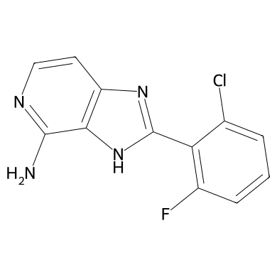 Nc1nccc2nc(-c3c(F)cccc3Cl)[nH]c12